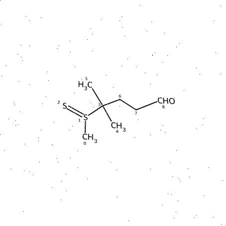 CS(=S)C(C)(C)CCC=O